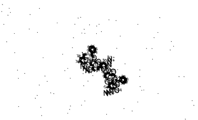 CCC1O[C@H](O[C@@H]2C(C(C)=O)O[C@@H](O[C@@H]3C(CC)O[C@H](O[C@@H]4C(C(C)=O)O[C@@H](O[C@@H]5C(COC(=O)c6ccccc6)O[C@H](OC)C(N=[N+]=[N-])[C@H]5C)C[C@H]4C)C(N=[N+]=[N-])[C@H]3C)C(OCc3ccccc3)[C@H]2C)C(N=[N+]=[N-])[C@@H](C)[C@@H]1C